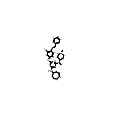 CN1CCC(N(C)c2nc(Nc3ccc(OCc4ccccc4)c(I)c3)nc(NC3CCCCCC3)n2)CC1